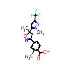 Cc1cc(C2=NOC(C)(c3cc(C(F)(F)F)nn3C)C2)ccc1C(=O)O